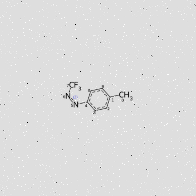 Cc1ccc(/N=N\C(F)(F)F)cc1